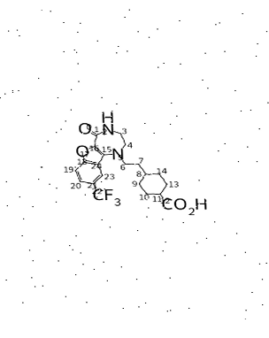 O=C1NCCN(CCC2CCC(C(=O)O)CC2)c2c1oc1ccc(C(F)(F)F)cc21